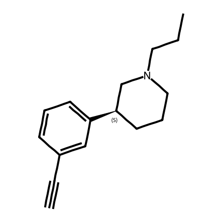 C#Cc1cccc([C@@H]2CCCN(CCC)C2)c1